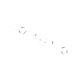 O=C(COc1ccc(Cl)cc1)NC12CCC(NC(=O)COc3ccc(Cl)cc3)(CC1)C2